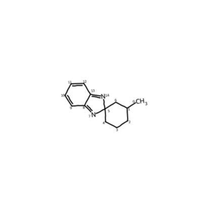 CC1CCCC2(C1)N=c1ccccc1=N2